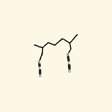 CC(CCCC(C)CN=C=O)CN=C=O